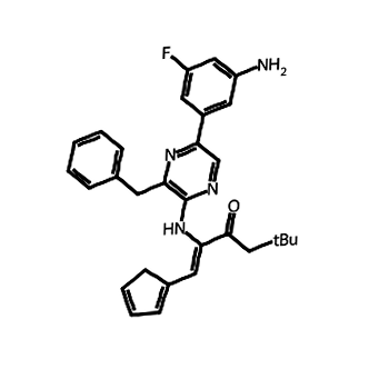 CC(C)(C)CC(=O)/C(=C/C1=CC=CC1)Nc1ncc(-c2cc(N)cc(F)c2)nc1Cc1ccccc1